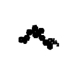 CC1(C)c2ccccc2-c2ccc(-c3ccc(N4c5ccccc5B5c6ccccc6N(c6cccc(-c7ccc8oc9ccccc9c8c7)c6)c6cccc4c65)cc3)cc21